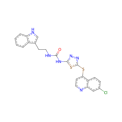 O=C(NCCc1c[nH]c2ccccc12)Nc1nnc(Sc2ccnc3cc(Cl)ccc23)s1